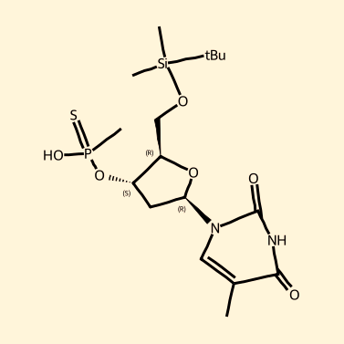 Cc1cn([C@H]2C[C@H](OP(C)(O)=S)[C@@H](CO[Si](C)(C)C(C)(C)C)O2)c(=O)[nH]c1=O